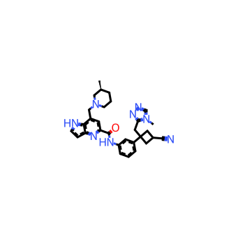 C[C@H]1CCCN(Cc2cc(C(=O)Nc3cccc(C4(Cc5nncn5C)CC(C#N)C4)c3)nc3cc[nH]c23)C1